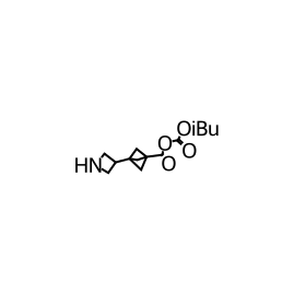 CC(C)COC(=O)OC(=O)C12CC(C3CNC3)(C1)C2